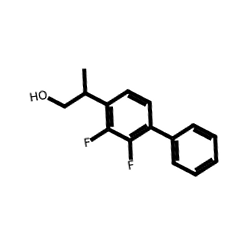 CC(CO)c1ccc(-c2ccccc2)c(F)c1F